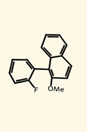 COc1ccc2ccccc2c1-c1ccccc1F